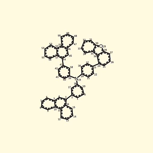 c1cc(-c2cc3ccccc3c3ccccc23)cc(N(c2ccc(-c3cccc4oc5ccccc5c34)cc2)c2cccc(-c3cc4ccccc4c4ccccc34)c2)c1